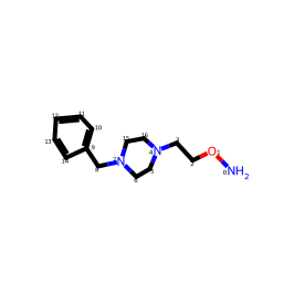 NOCCN1CCN(Cc2ccccc2)CC1